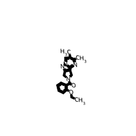 CCOc1ccccc1C(=O)N1Cc2nn3cc(C)c(C)nc3c2C1